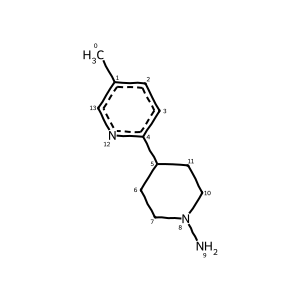 Cc1ccc(C2CCN(N)CC2)nc1